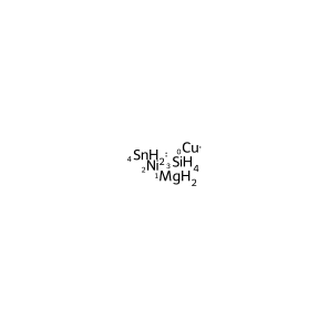 [Cu].[MgH2].[Ni].[SiH4].[SnH2]